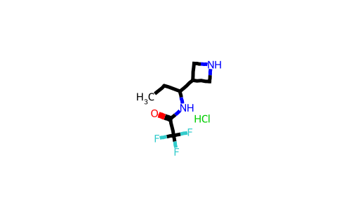 CCC(NC(=O)C(F)(F)F)C1CNC1.Cl